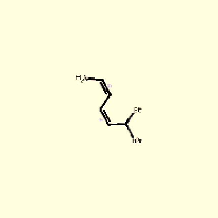 CCCC(/C=C\C=C/N)CC